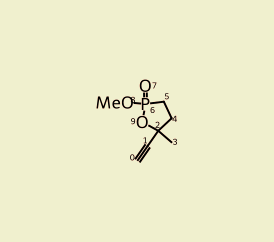 C#CC1(C)CCP(=O)(OC)O1